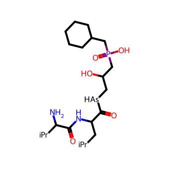 CC(C)CC(NC(=O)C(N)C(C)C)C(=O)[AsH]CC(O)CP(=O)(O)CC1CCCCC1